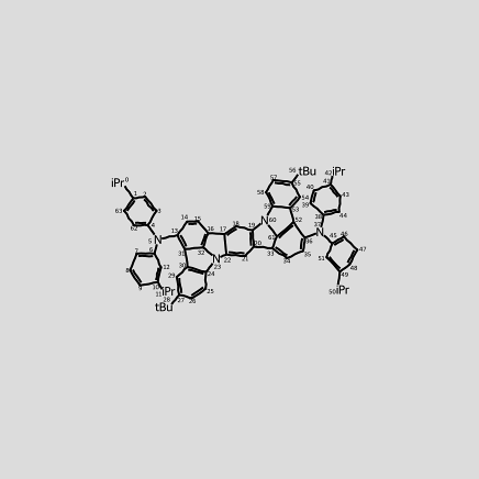 CC(C)c1ccc(N(c2cccc(C(C)C)c2)c2ccc3c4cc5c(cc4n4c6ccc(C(C)(C)C)cc6c2c34)c2ccc(N(c3ccc(C(C)C)cc3)c3cccc(C(C)C)c3)c3c4cc(C(C)(C)C)ccc4n5c23)cc1